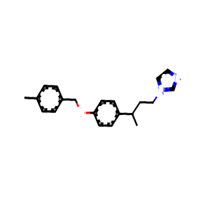 Cc1ccc(COc2ccc(C(C)CCn3ccnc3)cc2)cc1